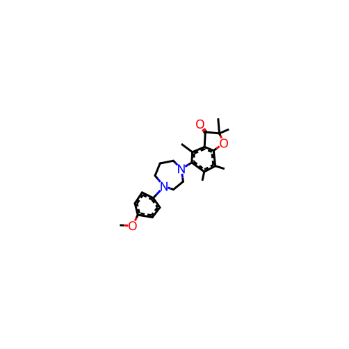 COc1ccc(N2CCCN(c3c(C)c(C)c4c(c3C)C(=O)C(C)(C)O4)CC2)cc1